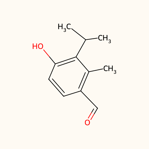 Cc1c(C=O)ccc(O)c1C(C)C